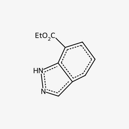 CCOC(=O)c1cccc2cn[nH]c12